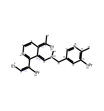 CC/C=C(\c1nccc(=C(\C)CC)/c1=C\N(C)Cc1cnc(C)c(CCC)c1)C(C)C